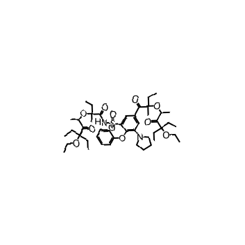 CCOC(CC)(CC)C(=O)C(C)OC(C)(CC)C(=O)NS(=O)(=O)c1cc(C(=O)C(C)(CC)OC(C)C(=O)C(CC)(CC)OCC)cc(N2CCCC2)c1Oc1ccccc1